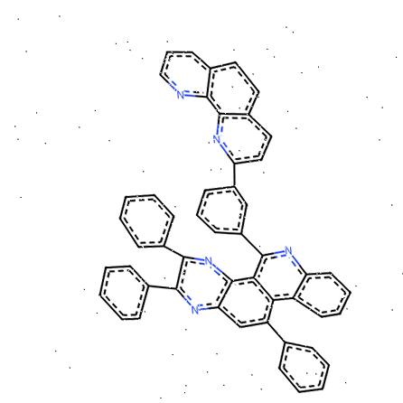 c1ccc(-c2nc3cc(-c4ccccc4)c4c5ccccc5nc(-c5cccc(-c6ccc7ccc8cccnc8c7n6)c5)c4c3nc2-c2ccccc2)cc1